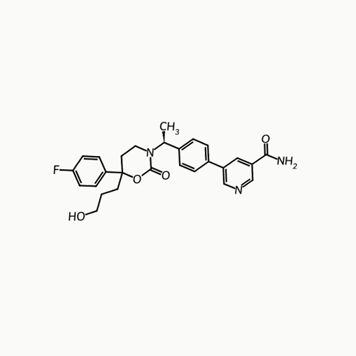 C[C@@H](c1ccc(-c2cncc(C(N)=O)c2)cc1)N1CCC(CCCO)(c2ccc(F)cc2)OC1=O